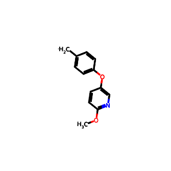 [CH2]c1ccc(Oc2ccc(OC)nc2)cc1